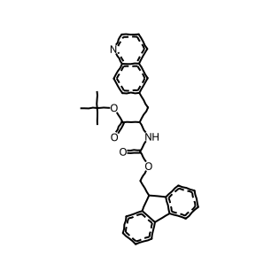 CC(C)(C)OC(=O)C(Cc1ccc2ncccc2c1)NC(=O)OCC1c2ccccc2-c2ccccc21